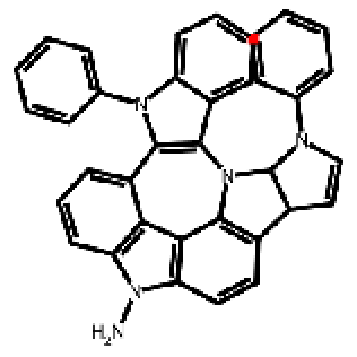 Nn1c2cccc3c2c2c1ccc1c2n(c2c4ccccc4n(-c4ccccc4)c32)C2C1C=CN2c1ccccc1